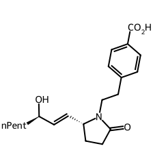 CCCCC[C@@H](O)/C=C/[C@H]1CCC(=O)N1CCc1ccc(C(=O)O)cc1